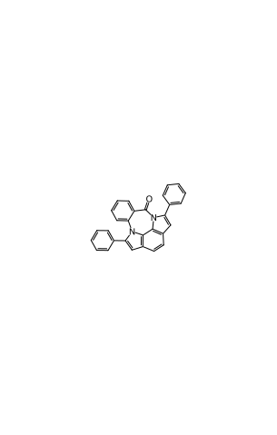 O=c1c2ccccc2n2c(-c3ccccc3)cc3ccc4cc(-c5ccccc5)n1c4c32